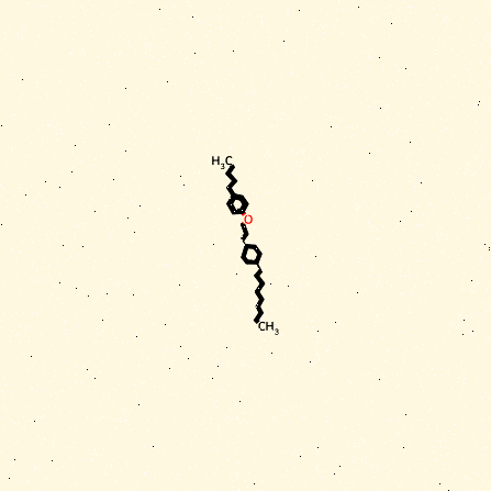 CCCCCCCCC[C@H]1CC[C@H](CCCOc2ccc(CCCCC)cc2)CC1